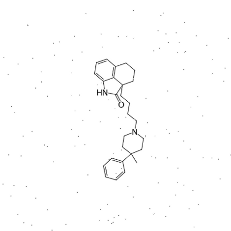 CC1(c2ccccc2)CCN(CCCCC23CCCc4cccc(c42)NC3=O)CC1